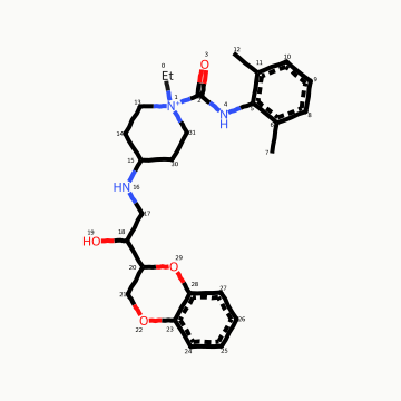 CC[N+]1(C(=O)Nc2c(C)cccc2C)CCC(NCC(O)C2COc3ccccc3O2)CC1